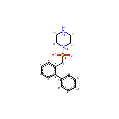 O=S(=O)(Cc1ccccc1-c1ccccc1)N1CCNCC1